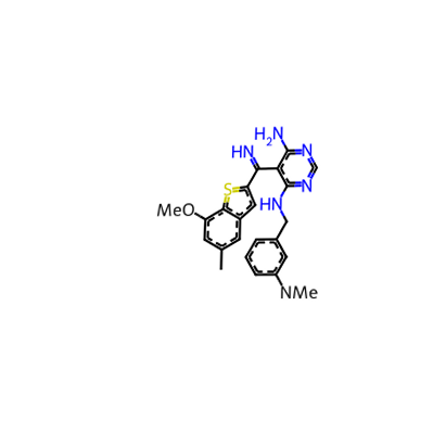 CNc1cccc(CNc2ncnc(N)c2C(=N)c2cc3cc(C)cc(OC)c3s2)c1